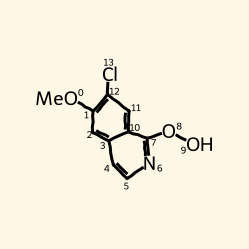 COc1cc2ccnc(OO)c2cc1Cl